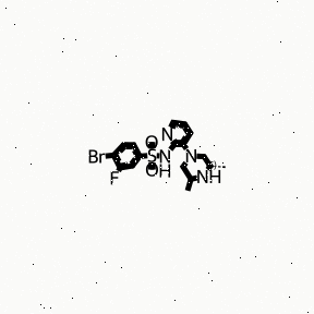 CC1CN(c2cccnc2NS(=O)(=O)c2ccc(Br)c(F)c2)C[C@H](C)N1